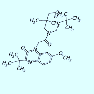 COc1ccc2nc(C(C)(C)C)c(=O)n(CC(=O)N(CCC(C)(C)C)CC(C)(C)CO)c2c1